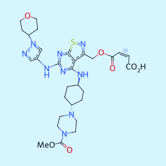 COC(=O)N1CCN([C@H]2CC[C@H](Nc3nc(Nc4cnn(C5CCOCC5)c4)nc4snc(COC(=O)/C=C\C(=O)O)c34)CC2)CC1